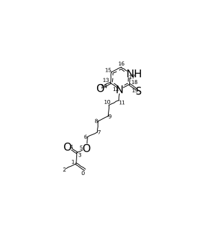 C=C(C)C(=O)OCCCCCCn1c(=O)cc[nH]c1=S